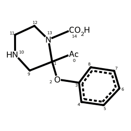 CC(=O)C1(Oc2ccccc2)CNCCN1C(=O)O